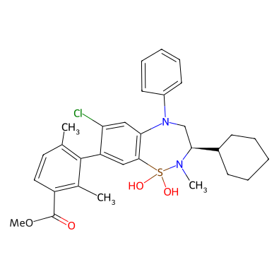 COC(=O)c1ccc(C)c(-c2cc3c(cc2Cl)N(c2ccccc2)C[C@@H](C2CCCCC2)N(C)S3(O)O)c1C